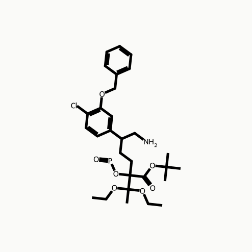 CCOC(C)(OCC)C(CCC(CN)c1ccc(Cl)c(OCc2ccccc2)c1)(OP=O)C(=O)OC(C)(C)C